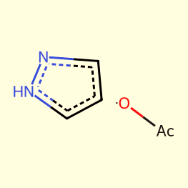 CC([O])=O.c1cn[nH]c1